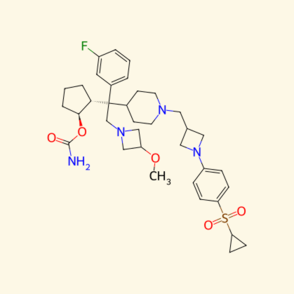 COC1CN(CC(c2cccc(F)c2)(C2CCN(CC3CN(c4ccc(S(=O)(=O)C5CC5)cc4)C3)CC2)[C@H]2CCC[C@@H]2OC(N)=O)C1